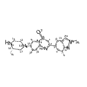 Cc1cc(-c2cc(=O)n3cc(N4CCN[C@@H](C)C4)ccc3n2)cc2cn(C)nc12